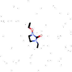 C=CON1CCN(CC)C1=O